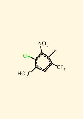 Cc1c(C(F)(F)F)cc(C(=O)O)c(Cl)c1[N+](=O)[O-]